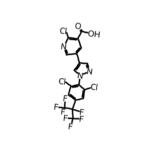 O=C(O)c1cc(-c2cnn(-c3c(Cl)cc(C(F)(C(F)(F)F)C(F)(F)F)cc3Cl)c2)cnc1Cl